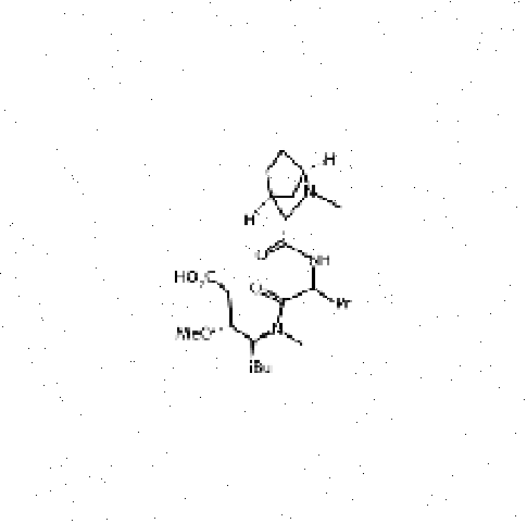 CC[C@H](C)[C@@H]([C@@H](CC(=O)O)OC)N(C)C(=O)C(NC(=O)[C@@H]1[C@H]2CC[C@H](C2)N1C)C(C)C